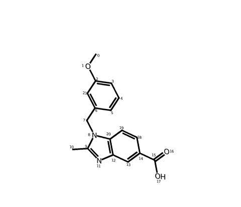 COc1cccc(Cn2c(C)nc3cc(C(=O)O)ccc32)c1